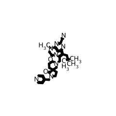 CN1CC(=O)n2c(CN3CCCC4(CCN(Cc5ccncc5)C4=O)C3)c(CC(C)(C)C)c3nc(C#N)nc1c32